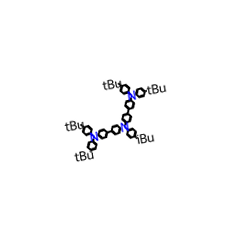 CCC(C)c1ccc(N(c2ccc(-c3ccc(N(c4ccc(C(C)(C)C)cc4)c4ccc(C(C)(C)C)cc4)cc3)cc2)c2ccc(-c3ccc(N(c4ccc(C(C)(C)C)cc4)c4ccc(C(C)(C)C)cc4)cc3)cc2)cc1